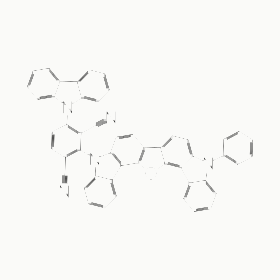 N#Cc1ccc(-n2c3ccccc3c3ccccc32)c(C#N)c1-n1c2ccccc2c2c3oc4c(ccc5c4c4ccccc4n5-c4ccccc4)c3ccc21